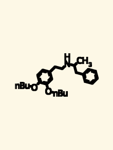 CCCCOc1ccc(CCNC(C)Cc2ccccc2)cc1OCCCC